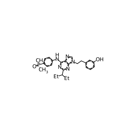 CCC(CC)c1nc(Nc2ccc(P(C)(C)=O)cc2)c2ncn(CCc3cccc(O)c3)c2n1